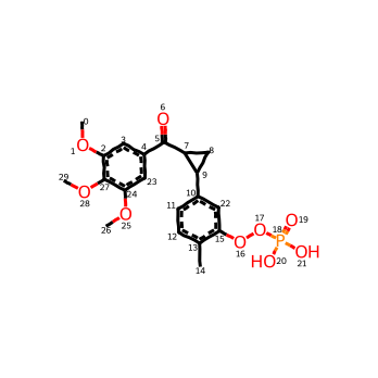 COc1cc(C(=O)C2CC2c2ccc(C)c(OOP(=O)(O)O)c2)cc(OC)c1OC